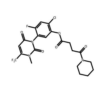 Cn1c(C(F)(F)F)cc(=O)n(-c2cc(OC(=O)CCC(=O)N3CCCCC3)c(Cl)cc2F)c1=O